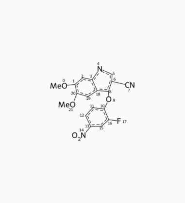 COc1cc2ncc(C#N)c(Oc3ccc([N+](=O)[O-])cc3F)c2cc1OC